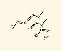 CO[C-]=O.CO[C-]=O.O=[C-]O.O=[C-]O.[Sn+4]